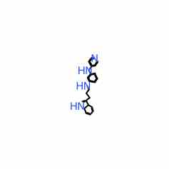 C1=CC2NC=C(CCCNc3cccc(Nc4ccncc4)c3)C2C=C1